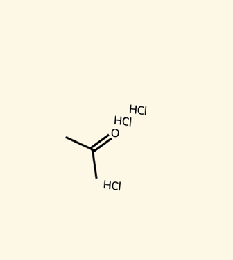 CC(C)=O.Cl.Cl.Cl